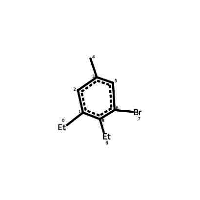 CCc1cc(C)cc(Br)c1CC